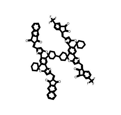 O=C1C(=O)c2cc(C(F)(F)F)ccc2/C1=C/c1cc2c(s1)-c1cc3c(cc1C1(CCCCC1)O2)-c1sc(/C=C2\C(=O)C(=O)c4cc(C(F)(F)F)ccc42)cc1OC31CCC(C2CCC3(CC2)Oc2cc(C=C4C(=O)c5cc6ccccc6cc5C4=O)sc2-c2cc4c(cc23)-c2sc(C=C3C(=O)c5cc6ccccc6cc5C3=O)cc2OC42CCCCC2)CC1